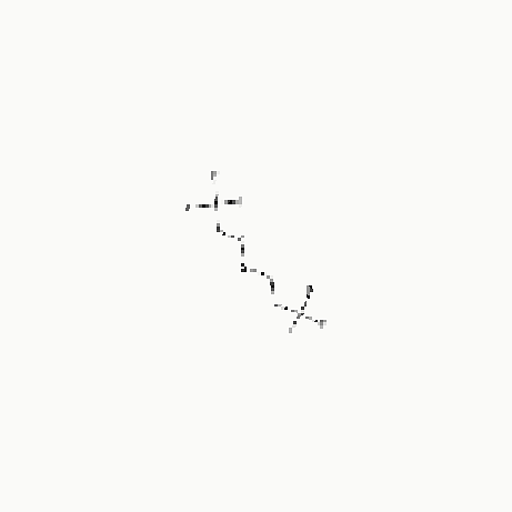 FC(F)(F)CCSSCC(F)(F)F